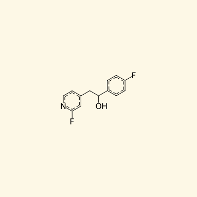 OC(Cc1ccnc(F)c1)c1ccc(F)cc1